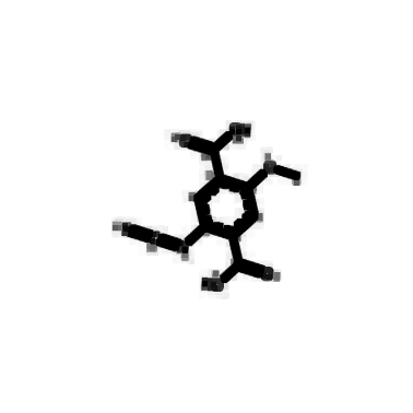 COc1cc(C(=O)O)c(N=C=S)cc1C(=O)O